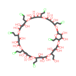 OCCC1OC(O)/C(O)=C(\O)C(CCCl)OC(O)/C(O)=C(/O)C(CCCl)OC(O)/C(O)=C(\O)C(CCCl)OC(O)/C(O)=C(\O)C(CCCl)OC(O)C(O)C(O)C(CCCl)OC(O)C(O)C(O)C(CCCl)OC2OC(CCl)C(OC(O)/C(O)=C/1O)C(O)C2O